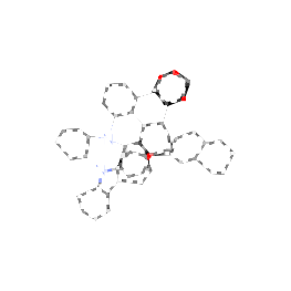 c1ccc(-c2ccccc2-c2c(-c3ccccc3)cccc2N(c2cccc(-c3ccc4ccccc4c3)c2)c2ccccc2-n2c3ccccc3c3ccccc32)cc1